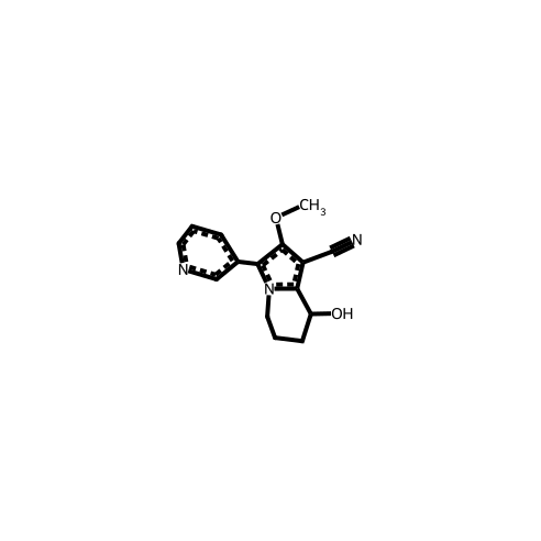 COc1c(C#N)c2n(c1-c1cccnc1)CCCC2O